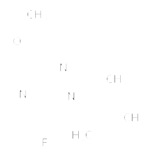 COc1nc(F)n(C(C)(C)C)n1